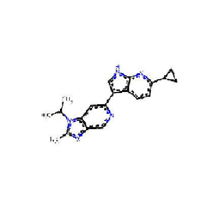 Cc1nc2cnc(-c3c[nH]c4nc(C5CC5)ccc34)cc2n1C(C)C